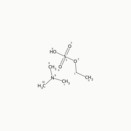 CCOS(=O)(=O)O.CN(C)C